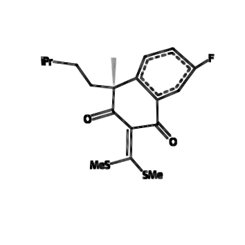 CSC(SC)=C1C(=O)c2cc(F)ccc2[C@](C)(CCC(C)C)C1=O